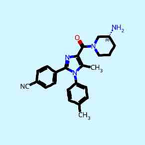 Cc1ccc(-n2c(-c3ccc(C#N)cc3)nc(C(=O)N3CCC[C@@H](N)C3)c2C)cc1